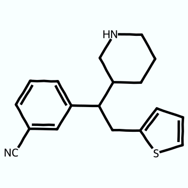 N#Cc1cccc(C(Cc2cccs2)C2CCCNC2)c1